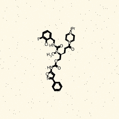 CC(C)N1CCN(C(=O)CC[C@@H](COC(=O)Nc2cc(-c3ccccc3)no2)N(C)C(=O)NCc2cccc(F)c2Cl)CC1